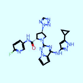 O=C(Nc1ccc(F)nc1)[C@@H]1C[C@@H](n2ncnn2)CN1c1nc(Nc2cc(C3CC3)[nH]n2)c2cccn2n1